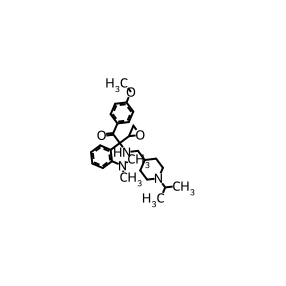 COc1ccc(C(=O)C(NCC2CCN(C(C)C)CC2)(c2ccccc2N(C)C)C2CO2)cc1